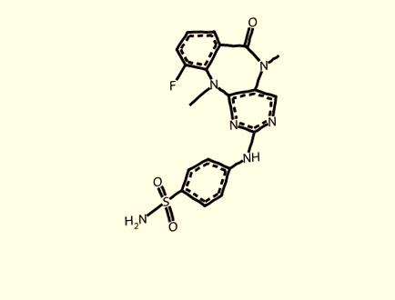 CN1C(=O)c2cccc(F)c2N(C)c2nc(Nc3ccc(S(N)(=O)=O)cc3)ncc21